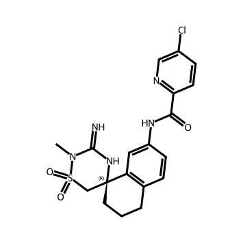 CN1C(=N)N[C@@]2(CCCc3ccc(NC(=O)c4ccc(Cl)cn4)cc32)CS1(=O)=O